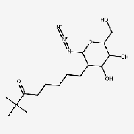 CC(C)(C)C(=O)CCCCCC1C(N=[N+]=[N-])OC(CO)C(O)C1O